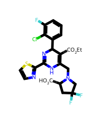 CCOC(=O)C1=C(CN2CC(F)(F)CC2C(=O)O)NC(c2nccs2)=NC1c1cccc(F)c1Cl